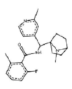 Cc1cc(C(NC(=O)c2c(C)cccc2F)C23CCC(CC2)N3C)ccn1